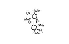 CSc1ccc(C(C)(C)c2ccc(SC)c(N)c2SC)c(SC)c1N